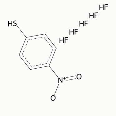 F.F.F.F.F.O=[N+]([O-])c1ccc(S)cc1